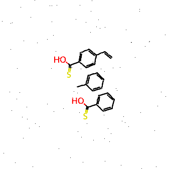 C=Cc1ccc(C(O)=S)cc1.Cc1ccccc1.OC(=S)c1ccccc1